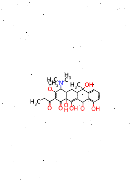 CCC(=O)C1=C(OC)C(N(C)C)C2CC3C(=C(O)C2(O)C1=O)C(=O)c1c(O)cccc1C3(C)O